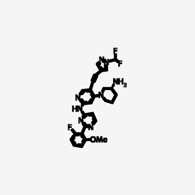 COc1cccc(F)c1-c1nccc(Nc2cc(N3CCC[C@H](N)C3)c(C#Cc3cnn(C(F)F)c3)cn2)n1